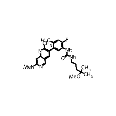 CNc1cc2nc(C)c(-c3cc(NC(=O)NCCCC(C)(C)OC)c(F)cc3C)cc2cn1